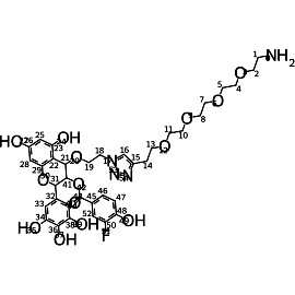 NCCOCCOCCOCCOCCc1cn(CCOC2c3c(O)cc(O)cc3OC(c3cc(O)c(O)c(O)c3)C2OC(=O)c2ccc(O)c(F)c2)nn1